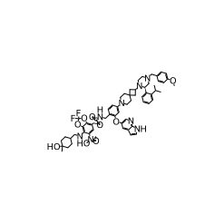 COc1ccc(CN2CCN(C3CC4(CCN(c5ccc(CNS(=O)(=O)c6cc([N+](=O)[O-])c(NCC7CCC(C)(O)CC7)c7c6OC(F)(F)O7)c(Oc6cnc7[nH]ccc7c6)c5)CC4)C3)[C@H](c3ccccc3C(C)C)C2)cc1